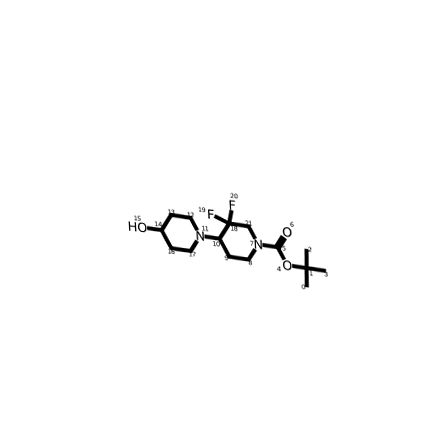 CC(C)(C)OC(=O)N1CCC(N2CCC(O)CC2)C(F)(F)C1